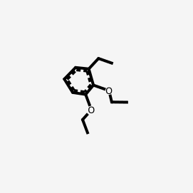 CCOc1cccc(CC)c1OCC